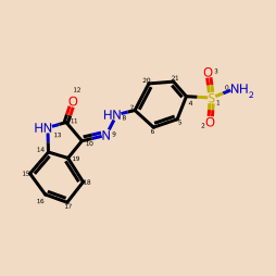 NS(=O)(=O)c1ccc(N/N=C2\C(=O)Nc3ccccc32)cc1